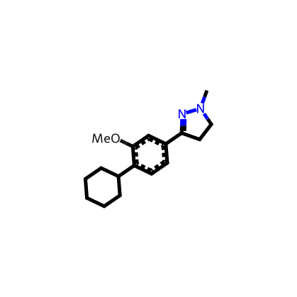 COc1cc(C2=NN(C)CC2)ccc1C1CCCCC1